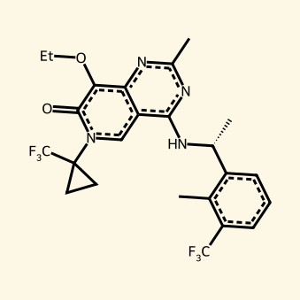 CCOc1c(=O)n(C2(C(F)(F)F)CC2)cc2c(N[C@H](C)c3cccc(C(F)(F)F)c3C)nc(C)nc12